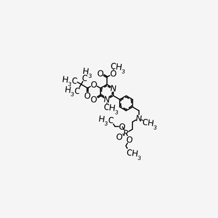 CCOP(=O)(CCN(C)Cc1ccc(-c2nc(C(=O)OC)c(OC(=O)C(C)(C)C)c(=O)n2C)cc1)OCC